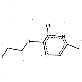 Clc1nc(I)ccc1OCCI